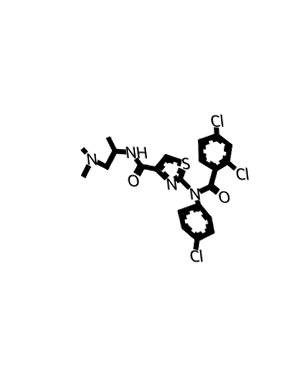 CC(CN(C)C)NC(=O)c1csc(N(C(=O)c2ccc(Cl)cc2Cl)c2ccc(Cl)cc2)n1